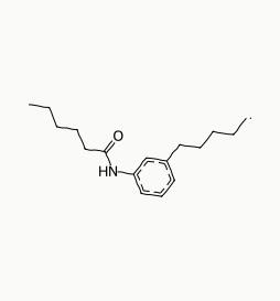 [CH2]CCCCc1cccc(NC(=O)CCCCC)c1